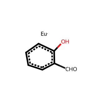 O=Cc1ccccc1O.[Eu]